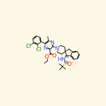 CCOC(=O)c1nc(-c2cccc(Cl)c2Cl)c(C)nc1N1CCC2(CC1)Cc1ccccc1[C@H]2N[S@+]([O-])C(C)(C)C